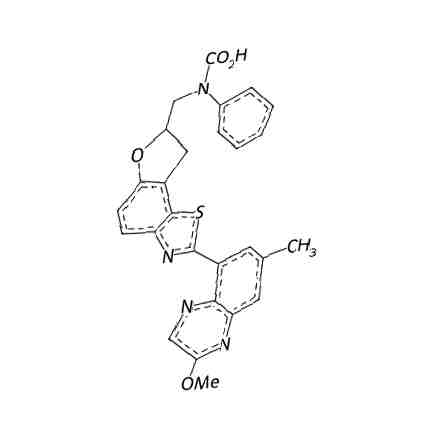 COc1cnc2c(-c3nc4ccc5c(c4s3)CC(CN(C(=O)O)c3ccccc3)O5)cc(C)cc2n1